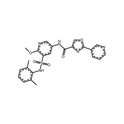 COc1ncc(NC(=O)c2coc(-c3cccnc3)n2)cc1S(=O)(=O)Nc1c(C)cccc1C